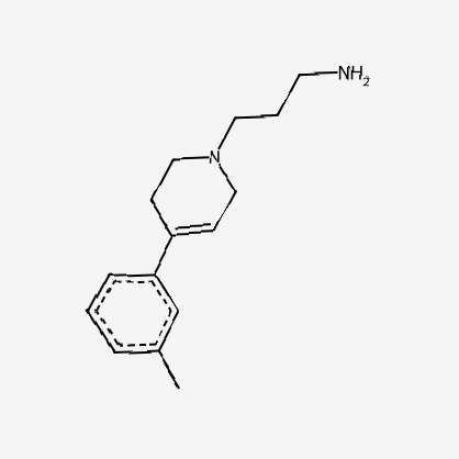 Cc1cccc(C2=CCN(CCCN)CC2)c1